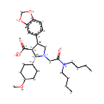 CCCCN(CCCC)C(=O)CN1CC(c2ccc3c(c2)OCO3)[C@H](C(=O)O)[C@H]1C1CCC(OC)CC1